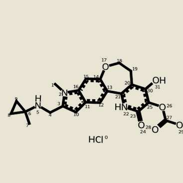 Cl.Cn1c(CNC2(C)CC2)cc2cc3c(cc21)OCCc1c-3[nH]c(=O)c(OC(=O)O)c1O